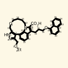 CCOCc1n[nH]c2c1-c1cccc3c(CCCOc4cccc5ccccc45)c(C(=O)O)n(c13)CCCCOC2